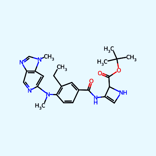 CCc1cc(C(=O)NC2=CNC2C(=O)OC(C)(C)C)ccc1N(C)c1cc2c(cn1)ncn2C